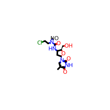 Cc1cn([C@H]2CC(NC(=O)N(CCCl)N=O)[C@@H](CO)O2)c(=O)[nH]c1=O